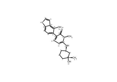 Cn1c(N[C@@H]2CCC[C@@](C)(O)C2)nnc(-c2ccc3sccc3c2O)c1=O